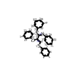 C(/Sc1ccccc1)=C(Oc1ccccc1)\C(=N/c1ccccc1)Sc1ccccc1